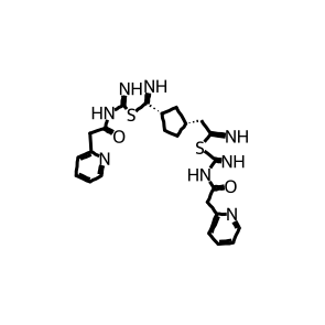 N=C(C[C@@H]1CC[C@H](C(=N)SC(=N)NC(=O)Cc2ccccn2)C1)SC(=N)NC(=O)Cc1ccccn1